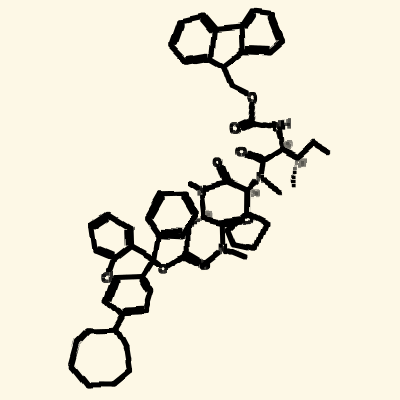 CC[C@H](C)[C@H](NC(=O)OCC1c2ccccc2-c2ccccc21)C(=O)N(C)[C@H](C(=O)N(C)[C@@H](CC(=O)OC(c1ccccc1)(c1ccc(C2CCCCCCC2)cc1)c1ccccc1Cl)C(=O)N(C)C)C1CCCC1